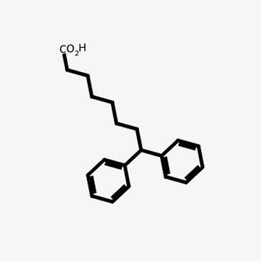 O=C(O)CCCCCCC(c1ccccc1)c1ccccc1